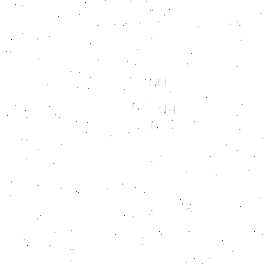 N=c1[nH]nc2c3cc4c(cc3ccn12)CCCC4